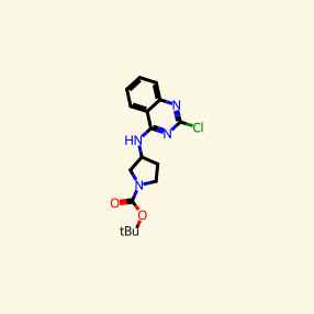 CC(C)(C)OC(=O)N1CCC(Nc2nc(Cl)nc3ccccc23)C1